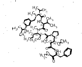 CC[C@H](C)[C@@H]([C@@H](CC(=O)N1CCC[C@H]1[C@H](OC)[C@@H](C)C(=O)N[C@@H](Cc1ccccc1)C(=O)OC)OC)N(C)C(=O)[C@@H](NC(=O)[C@H](C(C)C)N(C)Cc1ccnc(NC(C)C)c1)C(C)C